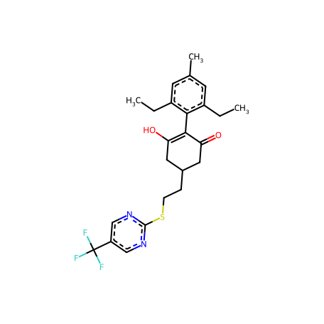 CCc1cc(C)cc(CC)c1C1=C(O)CC(CCSc2ncc(C(F)(F)F)cn2)CC1=O